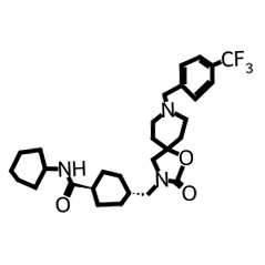 O=C1OC2(CCN(Cc3ccc(C(F)(F)F)cc3)CC2)CN1C[C@H]1CC[C@H](C(=O)NC2CCCCC2)CC1